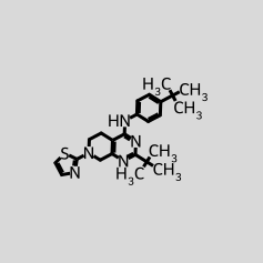 CC(C)(C)c1ccc(Nc2nc(C(C)(C)C)nc3c2CCN(c2nccs2)C3)cc1